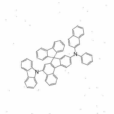 c1ccc(N(c2ccc3c(c2)C2(c4ccccc4-c4ccccc42)c2cc(-n4c5ccccc5c5ccccc54)c4ccccc4c2-3)c2ccc3ccccc3c2)cc1